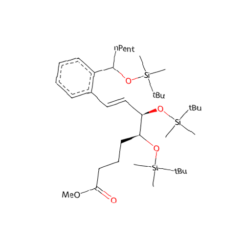 CCCCCC(O[Si](C)(C)C(C)(C)C)c1ccccc1/C=C/[C@@H](O[Si](C)(C)C(C)(C)C)[C@H](CCCC(=O)OC)O[Si](C)(C)C(C)(C)C